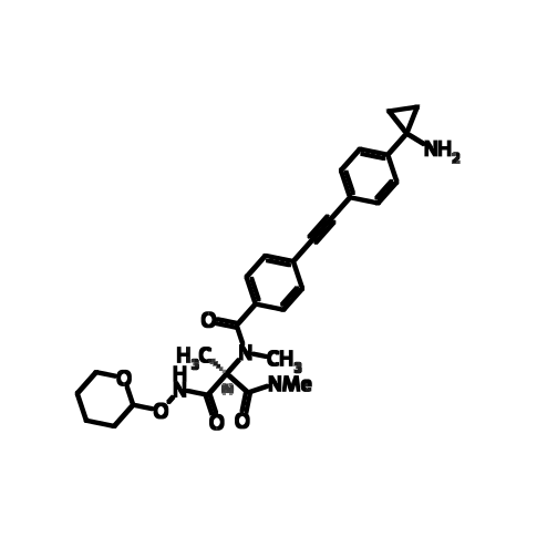 CNC(=O)[C@@](C)(C(=O)NOC1CCCCO1)N(C)C(=O)c1ccc(C#Cc2ccc(C3(N)CC3)cc2)cc1